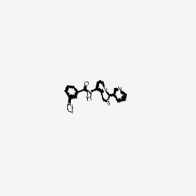 O=C(Nc1ccn2c1CSC2c1cccnc1)c1cccc(Cl)c1